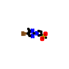 Cc1nc(N2CCC(S(C)(=O)=O)C2)ncc1Br